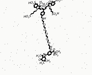 Cc1nn(-c2ccc(C(=O)N(C)C)c(NCCCOCCOCCOCCOCCOCCCNCc3ccc(C(=C\C=C4\N(CCCCS(=O)(=O)O)c5ccc(S(=O)(=O)O)cc5C4(C)C)/C=C/C4=[N+](CCCCS(=O)(=O)O)c5ccc(S(=O)(=O)O)cc5C4(C)C)cc3)c2)c2c1C(=O)CC(C)(C)C2